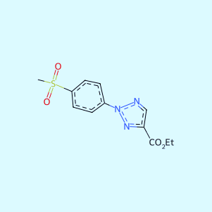 CCOC(=O)c1cnn(-c2ccc(S(C)(=O)=O)cc2)n1